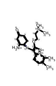 Cc1ccc2c(/N=C3\C=CC(=O)C=C3N)c(OCCN(C)C)nn2c1C